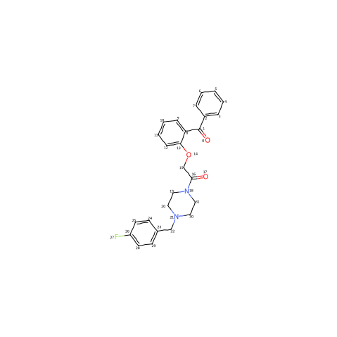 O=C(c1ccccc1)c1ccccc1OCC(=O)N1CCN(Cc2ccc(F)cc2)CC1